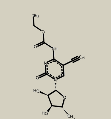 C#Cc1cn([C@@H]2O[C@H](C)[C@@H](O)[C@H]2O)c(=O)nc1NC(=O)OCC(C)(C)C